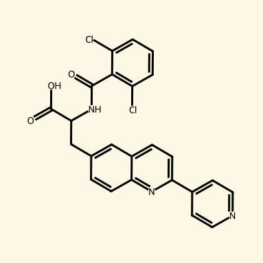 O=C(NC(Cc1ccc2nc(-c3ccncc3)ccc2c1)C(=O)O)c1c(Cl)cccc1Cl